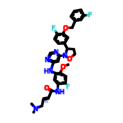 COc1cc(F)c(NC(=O)/C=C/CN(C)C)cc1Nc1cc(N2OCCC2c2ccc(F)c(OCc3cccc(F)c3)c2)ncn1